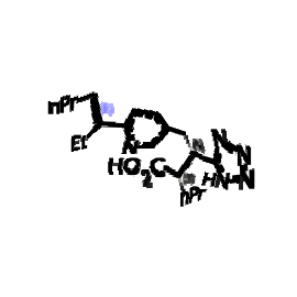 CCC/C=C(\CC)c1ccc(C[C@H](c2nnn[nH]2)[C@H](CCC)C(=O)O)cn1